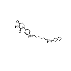 O=C1CCN(c2ccc(NCCCCCCCNC3CC4(CCC4)C3)cc2)C(=O)N1